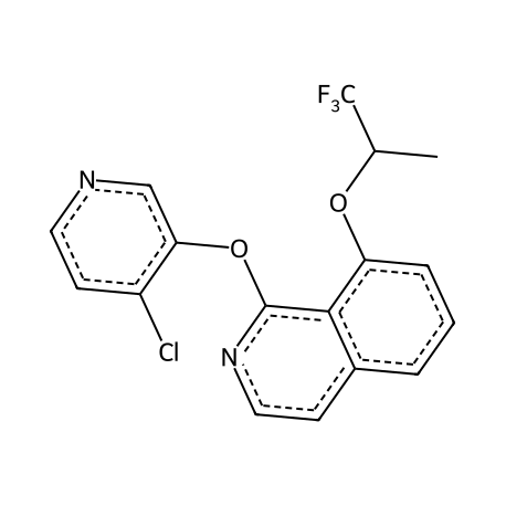 CC(Oc1cccc2ccnc(Oc3cnccc3Cl)c12)C(F)(F)F